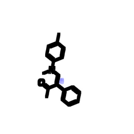 CC(=O)/C(=C\N(C)c1ccc(C)cc1)c1ccccc1